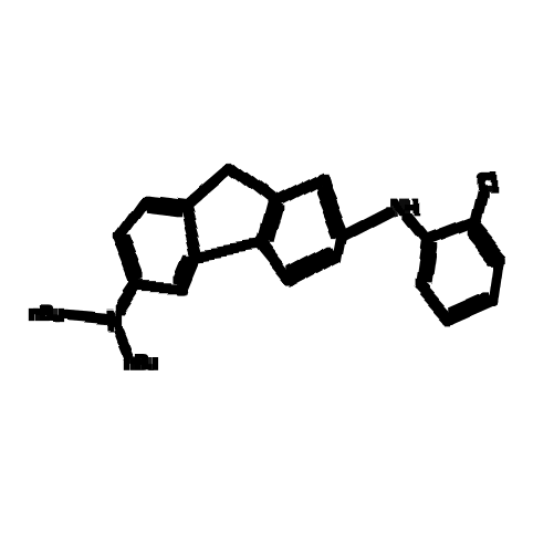 CCCCN(CCCC)c1ccc2c(c1)-c1ccc(Nc3ccccc3Cl)cc1C2